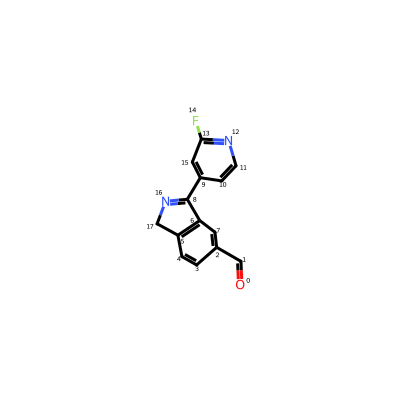 O=Cc1ccc2c(c1)C(c1ccnc(F)c1)=NC2